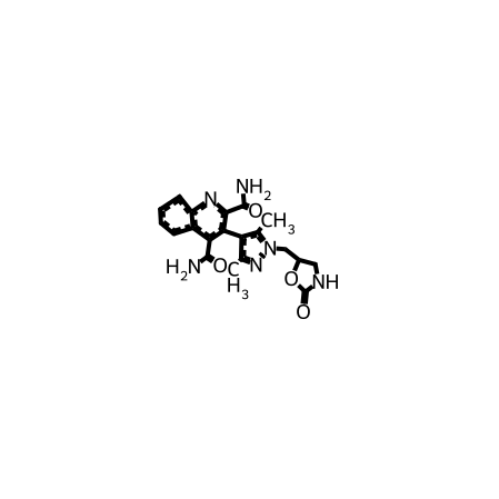 Cc1nn(CC2CNC(=O)O2)c(C)c1-c1c(C(N)=O)nc2ccccc2c1C(N)=O